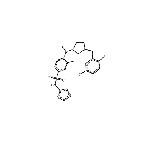 Cc1cc(S(=O)(=O)Nc2cscn2)ncc1N(C)C1CCN(Cc2cc(F)ccc2F)C1